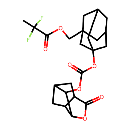 CC(F)(F)C(=O)OCC12CC3CC(C1)CC(OC(=O)OC1C4CC5C(=O)OC1C5C4)(C3)C2